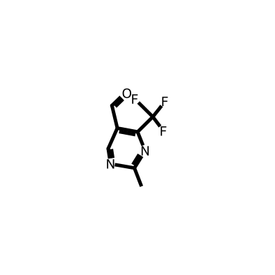 Cc1ncc(C=O)c(C(F)(F)F)n1